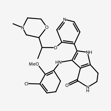 COC1=C(Nc2c(-c3ccncc3OC(C)C3CN(C)CCO3)[nH]c3c2C(=O)NCC3)CCC=C1Cl